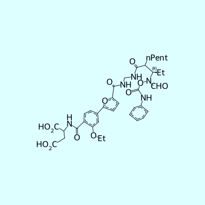 CCCCCC(C(=O)NCNC(=O)c1ccc(-c2ccc(C(=O)NC(CC(=O)O)C(=O)O)c(OCC)c2)o1)[C@@H](CC)N(C=O)OC(=O)Nc1ccccc1